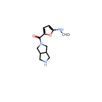 O=CNc1ccc(C(=O)N2CC3CNCC3C2)o1